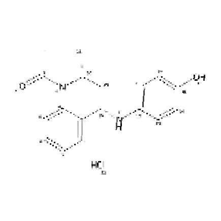 CC(=O)N1c2ccccc2[C@@H](Nc2ccc(O)cc2)C[C@H]1C.Cl